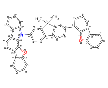 CC1(C)c2cc(-c3cccc4c3oc3ccccc34)ccc2-c2ccc(-n3c4ccccc4c4ccc5c6ccccc6oc5c43)cc21